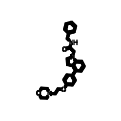 O=C(Cn1ccc2c(-c3ccc(OCCN4CCOCC4)cc3)cccc21)NCc1ccccc1